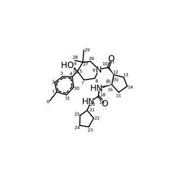 Cc1ccc([C@@]2(O)CCN(C(=O)[C@H]3CCC[C@H]3NC(=O)NC3CCCC3)CC2(C)C)cc1